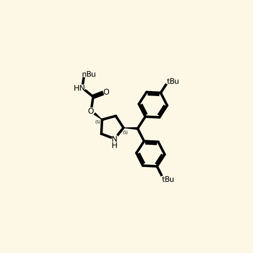 CCCCNC(=O)O[C@@H]1CN[C@H](C(c2ccc(C(C)(C)C)cc2)c2ccc(C(C)(C)C)cc2)C1